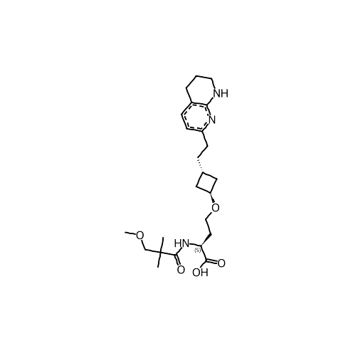 COCC(C)(C)C(=O)N[C@@H](CCO[C@H]1C[C@H](CCc2ccc3c(n2)NCCC3)C1)C(=O)O